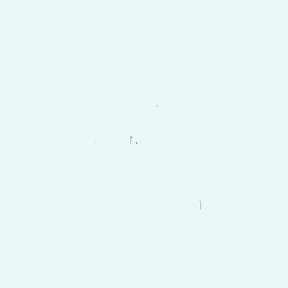 IC1CCC2CCCCN2C1